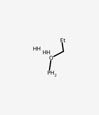 CCCOP.[HH].[HH]